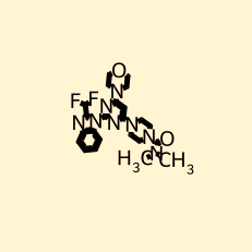 CN(C)C(=O)N1CCN(c2cc(N3CCOCC3)nc(-n3c(C(F)F)nc4ccccc43)n2)CC1